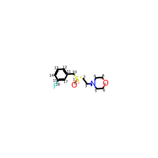 [O-][S+](CCN1CCOCC1)Cc1cccc(F)c1